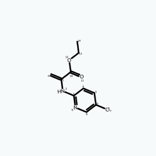 C=C(Nc1ccc(Cl)cn1)C(=O)OCC